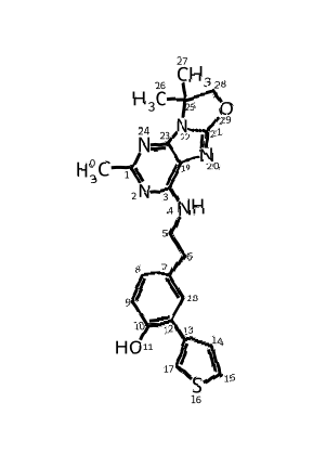 Cc1nc(NCCc2ccc(O)c(-c3ccsc3)c2)c2nc3n(c2n1)C(C)(C)CO3